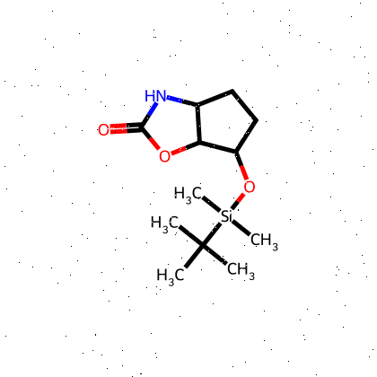 CC(C)(C)[Si](C)(C)OC1CCC2NC(=O)OC21